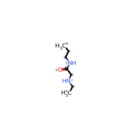 CCCNC(=O)CNCC